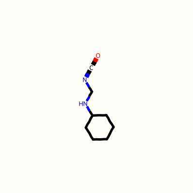 O=C=NCNC1CCCCC1